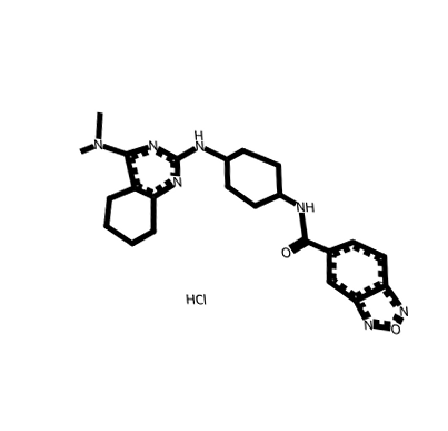 CN(C)c1nc(NC2CCC(NC(=O)c3ccc4nonc4c3)CC2)nc2c1CCCC2.Cl